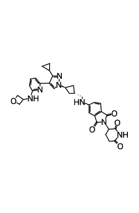 O=C1CCC(N2C(=O)c3ccc(NC[C@H]4C[C@H](n5cc(-c6cccc(NC7COC7)n6)c(C6CC6)n5)C4)cc3C2=O)C(=O)N1